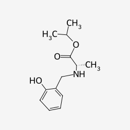 CC(C)OC(=O)[C@H](C)NCc1ccccc1O